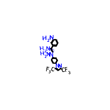 N/C(=C\N(N)c1ccc(-n2nc(C(F)(F)F)cc2C(F)(F)F)cc1)c1cccc(N)c1